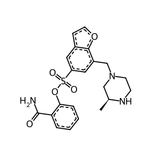 C[C@H]1CN(Cc2cc(S(=O)(=O)Oc3ccccc3C(N)=O)cc3ccoc23)CCN1